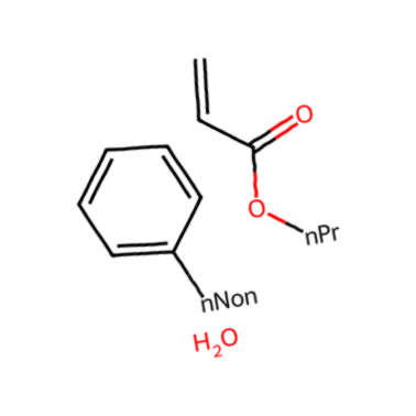 C=CC(=O)OCCC.CCCCCCCCCc1ccccc1.O